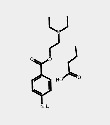 CCCC(=O)O.CCN(CC)CCOC(=O)c1ccc(N)cc1